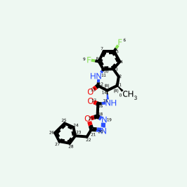 C[C@@H]1Cc2cc(F)cc(F)c2NC(=O)[C@@H]1NC(=O)c1nnc(Cc2ccccc2)o1